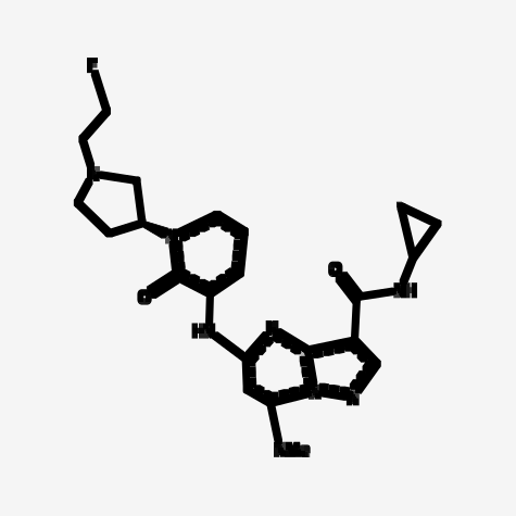 CNc1cc(Nc2cccn([C@H]3CCN(CCF)C3)c2=O)nc2c(C(=O)NC3CC3)cnn12